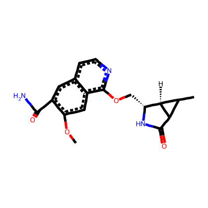 COc1cc2c(OC[C@H]3NC(=O)C4C(C)[C@@H]43)nccc2cc1C(N)=O